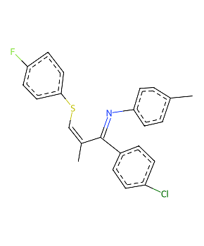 CC(=CSc1ccc(F)cc1)C(=Nc1ccc(C)cc1)c1ccc(Cl)cc1